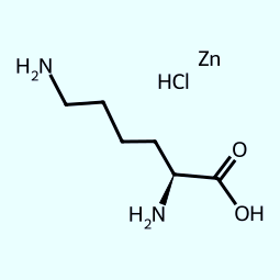 Cl.NCCCC[C@H](N)C(=O)O.[Zn]